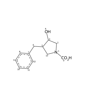 O=C(O)N1CC(O)C(Cc2ccccc2)C1